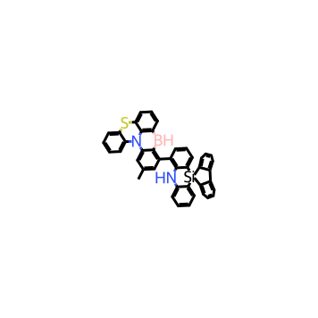 Cc1cc(-c2cccc3c2Nc2ccccc2[Si]32c3ccccc3-c3ccccc32)c2c(c1)N1c3ccccc3Sc3cccc(c31)B2